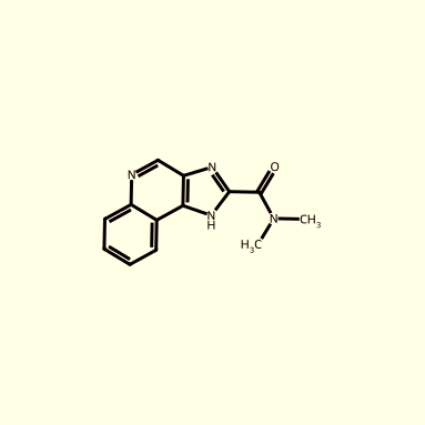 CN(C)C(=O)c1nc2cnc3ccccc3c2[nH]1